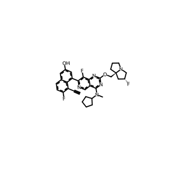 C#Cc1c(F)ccc2cc(O)cc(-c3ncc4c(N(C)C5CCCC5)nc(OC[C@@]56CCCN5C[C@H](F)C6)nc4c3F)c12